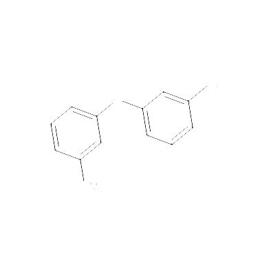 COc1cccc(Oc2cccc(C(C)C)c2)c1